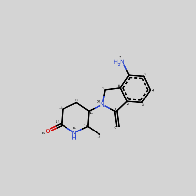 C=C1c2cccc(N)c2CN1C1CCC(=O)NC1C